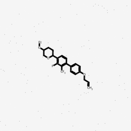 C=CCOc1ccc(-c2ccc(C3CCC(OCC)CO3)c(F)c2C(F)(F)F)cc1